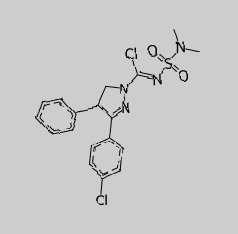 CN(C)S(=O)(=O)N=C(Cl)N1CC(c2ccccc2)C(c2ccc(Cl)cc2)=N1